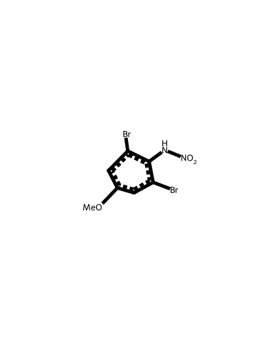 COc1cc(Br)c(N[N+](=O)[O-])c(Br)c1